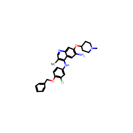 CN1CCC(Oc2cc3ncc(C#N)c(Nc4ccc(OCc5ccccc5)c(Cl)c4)c3cc2N)CC1